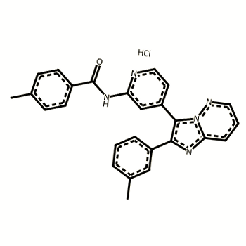 Cc1ccc(C(=O)Nc2cc(-c3c(-c4cccc(C)c4)nc4cccnn34)ccn2)cc1.Cl